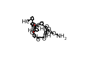 C#Cc1ccccc1-c1ccc(C[C@@H]2NC(=O)[C@]3(Cc4ccccc4)CCCN(C3)C(=O)/C=C/C(=O)NCC[C@@H](C(=O)NCCOCCN)NC(=O)Cc3ccccc3CNC2=O)cc1